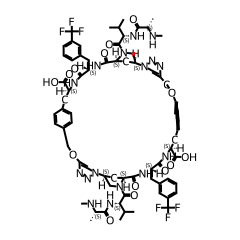 CN[C@@H](C)C(=O)N[C@H](C(=O)N1C[C@@H]2C[C@H]1C(=O)N[C@@H](Cc1cccc(C(F)(F)F)c1)C(=O)N[C@H](C(=O)O)Cc1ccc(cc1)COc1cn(nn1)[C@H]1C[C@@H](C(=O)N[C@@H](Cc3cccc(C(F)(F)F)c3)C(=O)N[C@H](C(=O)O)Cc3ccc(cc3)OCc3cn2nn3)N(C(=O)[C@@H](NC(=O)[C@H](C)NC)C(C)C)C1)C(C)C